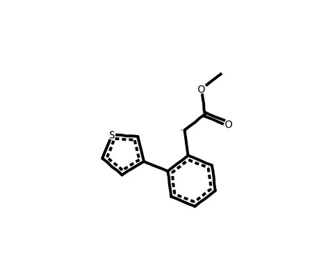 COC(=O)[CH]c1ccccc1-c1ccsc1